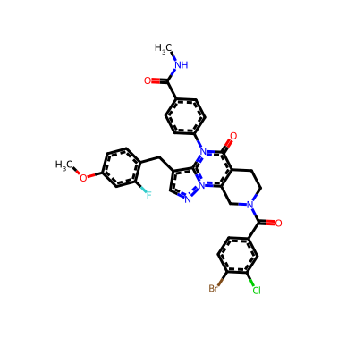 CNC(=O)c1ccc(-n2c(=O)c3c(n4ncc(Cc5ccc(OC)cc5F)c24)CN(C(=O)c2ccc(Br)c(Cl)c2)CC3)cc1